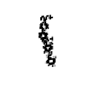 O=C(O)N1CCN(c2cnc3nc(-c4ccc(OCc5ccccc5)cc4)[nH]c3c2)CC1